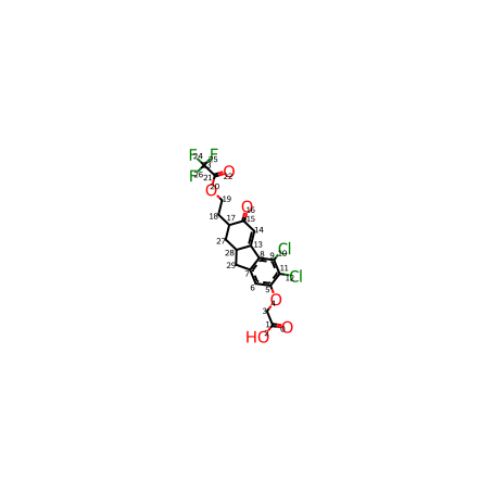 O=C(O)COc1cc2c(c(Cl)c1Cl)C1=CC(=O)C(CCOC(=O)C(F)(F)F)CC1C2